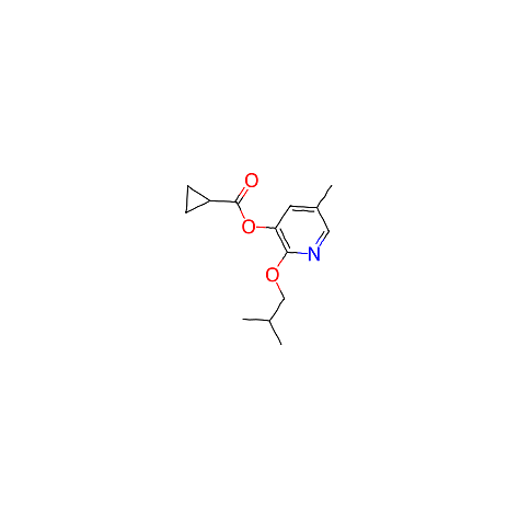 Cc1cnc(OCC(C)C)c(OC(=O)C2CC2)c1